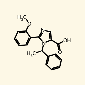 COc1ccccc1-c1ncc(C(=O)O)n1[C@H](C)c1ccccc1